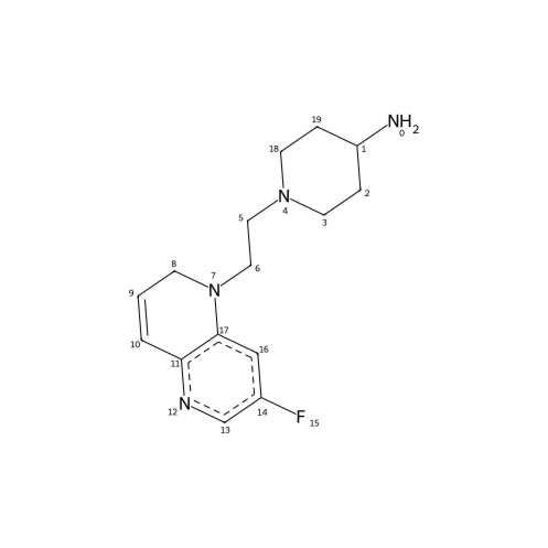 NC1CCN(CCN2CC=Cc3ncc(F)cc32)CC1